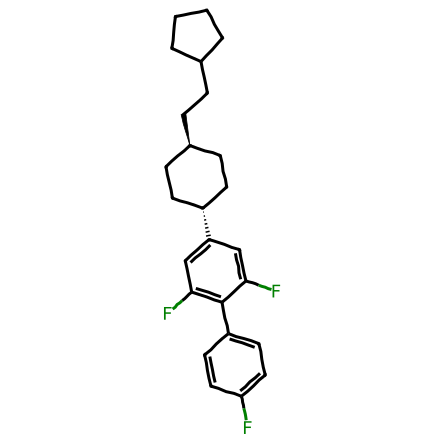 Fc1ccc(-c2c(F)cc([C@H]3CC[C@H](CCC4CCCC4)CC3)cc2F)cc1